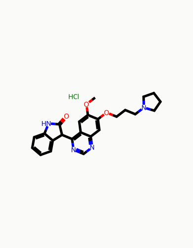 COc1cc2c(C3C(=O)Nc4ccccc43)ncnc2cc1OCCCN1CCCC1.Cl